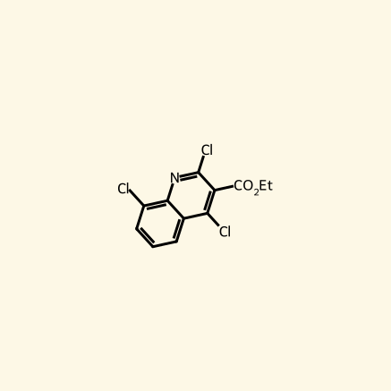 CCOC(=O)c1c(Cl)nc2c(Cl)cccc2c1Cl